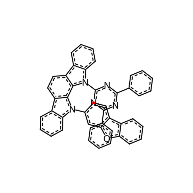 c1ccc(-c2nc(-c3ccccc3)nc(-n3c4ccccc4c4ccc5c6ccccc6n(-c6ccc7c(c6)oc6ccccc67)c5c43)n2)cc1